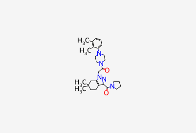 Cc1cccc(N2CCN(C(=O)Cn3nc(C(=O)N4CCCC4)c4c3CC(C)(C)CC4)CC2)c1C